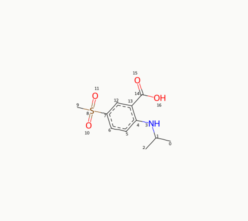 CC(C)Nc1ccc(S(C)(=O)=O)cc1C(=O)O